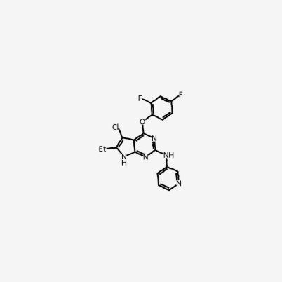 CCc1[nH]c2nc(Nc3cccnc3)nc(Oc3ccc(F)cc3F)c2c1Cl